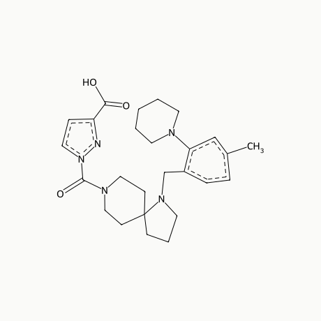 Cc1ccc(CN2CCCC23CCN(C(=O)n2ccc(C(=O)O)n2)CC3)c(N2CCCCC2)c1